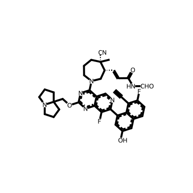 C#Cc1c(F)ccc2cc(O)cc(-c3ncc4c(N5CCC[C@](C)(C#N)[C@H](C=CC(=O)NC=O)C5)nc(OCC56CCCN5CCC6)nc4c3F)c12